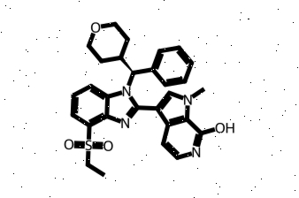 CCS(=O)(=O)c1cccc2c1nc(-c1cn(C)c3c(O)nccc13)n2[C@H](c1ccccc1)C1CCOCC1